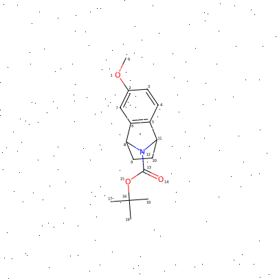 COc1ccc2c(c1)C1CCC2N1C(=O)OC(C)(C)C